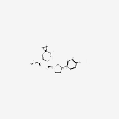 Cc1ccc(C2CCN(C(=O)[C@H]3NCC4(CC4)C[C@@H]3C(=O)NO)C2)cc1